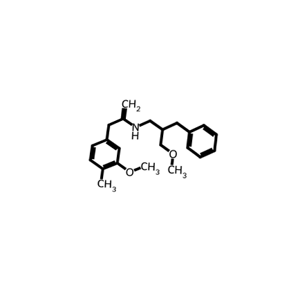 C=C(Cc1ccc(C)c(OC)c1)NCC(COC)Cc1ccccc1